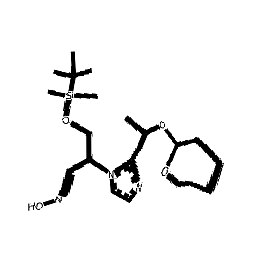 CC(OC1CCCCO1)c1nccn1C(/C=N/O)CO[Si](C)(C)C(C)(C)C